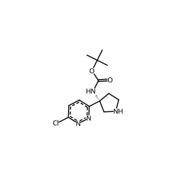 CC(C)(C)OC(=O)N[C@]1(c2ccc(Cl)nn2)CCNC1